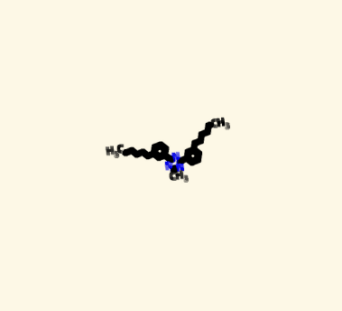 CCCCCCc1cccc(-c2nc(C)nc(-c3cccc(CCCCCC)c3)n2)c1